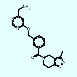 Cc1n[nH]c2c1CN(C(=O)c1cccc(COc3cc(CN)ncn3)c1)CC2